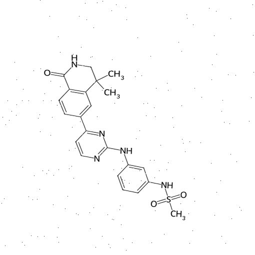 CC1(C)CNC(=O)c2ccc(-c3ccnc(Nc4cccc(NS(C)(=O)=O)c4)n3)cc21